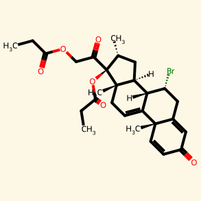 CCC(=O)OCC(=O)[C@]1(OC(=O)CC)[C@H](C)C[C@H]2[C@H]3C(=CC[C@@]21C)[C@@]1(C)C=CC(=O)C=C1C[C@H]3Br